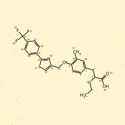 CCOC(Cc1ccc(OCc2csc(-c3ccc(C(F)(F)F)cc3)n2)c(C)c1)C(=O)O